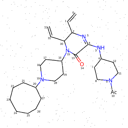 C=CC1N=C(NC2CCN(C(C)=O)CC2)C(=O)N(C2CCN(C3CCCCCCC3)CC2)C1C=C